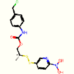 C[C@H](COC(=O)Nc1ccc(CCl)cc1)SSc1ccc(N(O)O)nc1